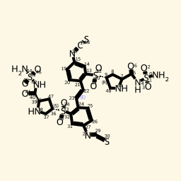 NS(=O)(=O)NC(=O)C1C[C@@H](S(=O)(=O)c2cc(N=C=S)ccc2/C=C/c2ccc(N=C=S)cc2S(=O)(=O)[C@@H]2CN[C@@H](C(=O)NS(N)(=O)=O)C2)CN1